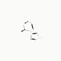 O=c1nccc[nH]1.c1c[nH]cn1